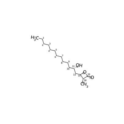 CCCCCCCCCCC[C@H](O)CC1OC(=O)C1C